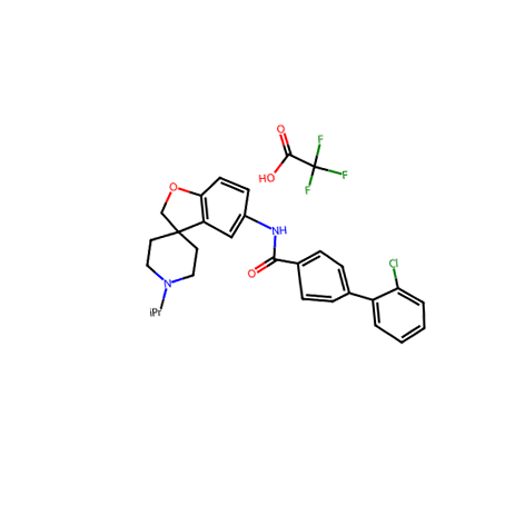 CC(C)N1CCC2(CC1)COc1ccc(NC(=O)c3ccc(-c4ccccc4Cl)cc3)cc12.O=C(O)C(F)(F)F